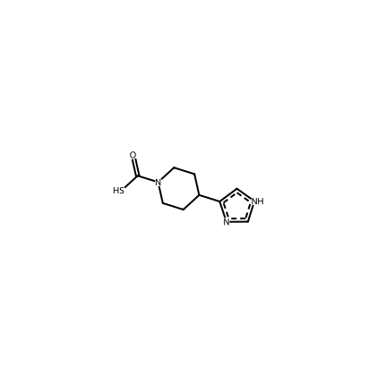 O=C(S)N1CCC(c2c[nH]cn2)CC1